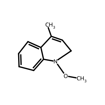 CON1CC=C(C)c2ccccc21